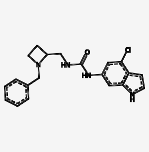 O=C(NCC1CCN1Cc1ccccc1)Nc1cc(Cl)c2cc[nH]c2c1